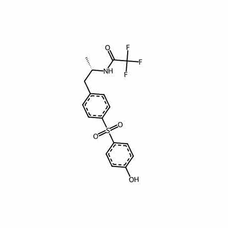 C[C@@H](Cc1ccc(S(=O)(=O)c2ccc(O)cc2)cc1)NC(=O)C(F)(F)F